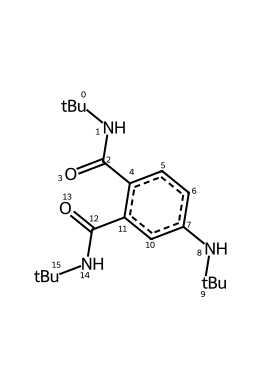 CC(C)(C)NC(=O)c1ccc(NC(C)(C)C)cc1C(=O)NC(C)(C)C